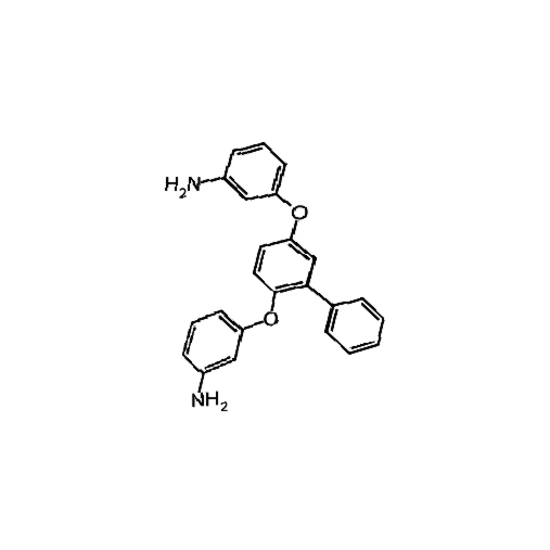 Nc1cccc(Oc2ccc(Oc3cccc(N)c3)c(-c3ccccc3)c2)c1